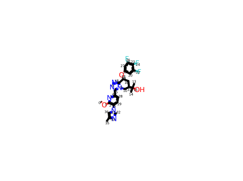 COc1nc(-c2nnc3n2CC(C(C)(C)O)C[C@H]3Oc2cc(F)c(F)c(F)c2)ccc1-n1cnc(C)c1